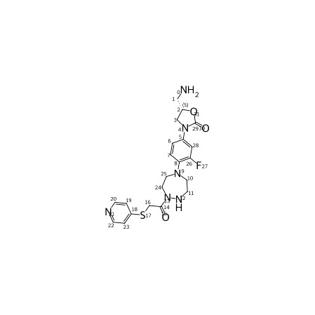 NC[C@H]1CN(c2ccc(N3CCNN(C(=O)CSc4ccncc4)CC3)c(F)c2)C(=O)O1